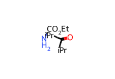 CC(C)C(=O)C(C)C.CCOC(N)=O